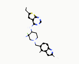 Cc1c(CN2CCC(Nc3ncnc4sc(CC(F)(F)F)cc34)C(N)(F)C2)ccc2[nH]c(C#N)cc12